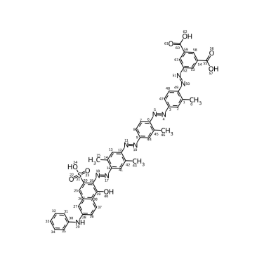 Cc1cc(N=Nc2ccc(N=Nc3cc(C)c(N=Nc4c(S(=O)(=O)O)cc5cc(Nc6ccccc6)ccc5c4O)cc3C)cc2C)ccc1N=Nc1cc(C(=O)O)cc(C(=O)O)c1